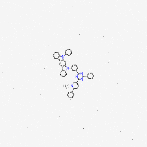 CN1CC(c2nc(-c3ccccc3)nc(-c3cccc(-n4c5ccccc5c5cc6c7ccccc7n(-c7ccccc7)c6cc54)c3)n2)=CC=C1c1ccccc1